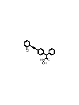 O=C(NO)C(c1ccccc1)c1ccc(C#Cc2ccccc2Cl)cc1